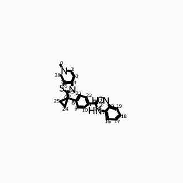 CN1CCc2nc(C3(c4ccc(C(=O)Nc5ccccc5N)cc4)CC3)sc2C1